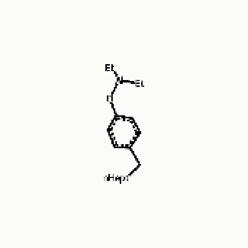 CCCCCCCCc1ccc([O][Al]([CH2]C)[CH2]C)cc1